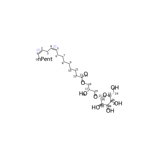 CCCCC/C=C\C/C=C\CCCCCCCC(=O)OCC(O)CO[C@@H]1O[C@H](CO)[C@H](O)[C@H](O)[C@H]1O